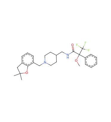 COC(C(=O)NCC1CCN(Cc2cccc3c2OC(C)(C)C3)CC1)(c1ccccc1)C(F)(F)F